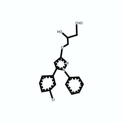 O=CCC(O)COc1cc(-c2cccc(Cl)c2)n(-c2ccccc2)n1